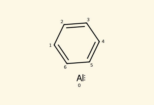 [Al].c1ccccc1